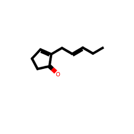 CC/C=C/CC1=CCCC1=O